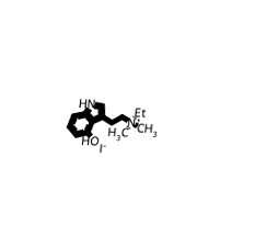 CC[N+](C)(C)CCc1c[nH]c2cccc(O)c12.[I-]